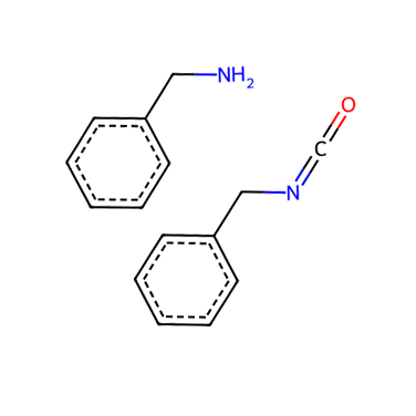 NCc1ccccc1.O=C=NCc1ccccc1